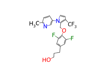 Cc1ccc(-n2ccc(C(F)(F)F)c2COc2c(F)cc(CCCO)cc2F)cn1